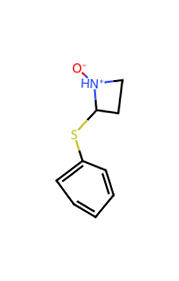 [O-][NH+]1CCC1Sc1ccccc1